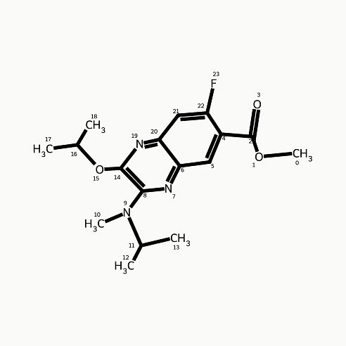 COC(=O)c1cc2nc(N(C)C(C)C)c(OC(C)C)nc2cc1F